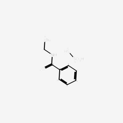 CC(C)(C)CNC(=O)c1ccccc1.O=S(=O)(O)S